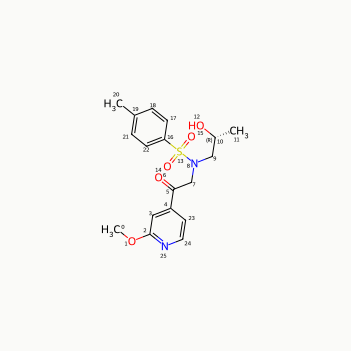 COc1cc(C(=O)CN(C[C@@H](C)O)S(=O)(=O)c2ccc(C)cc2)ccn1